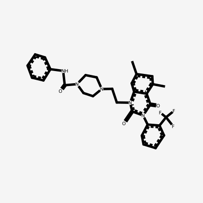 Cc1cc(C)c2c(=O)n(-c3ccccc3C(F)(F)F)c(=O)n(CCN3CCN(C(=O)Nc4ccccc4)CC3)c2c1